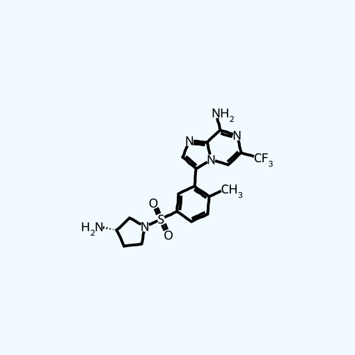 Cc1ccc(S(=O)(=O)N2CC[C@H](N)C2)cc1-c1cnc2c(N)nc(C(F)(F)F)cn12